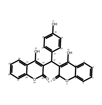 O=c1oc2ccccc2c(O)c1C(c1ccc(O)cc1)c1c(O)c2ccccc2oc1=O